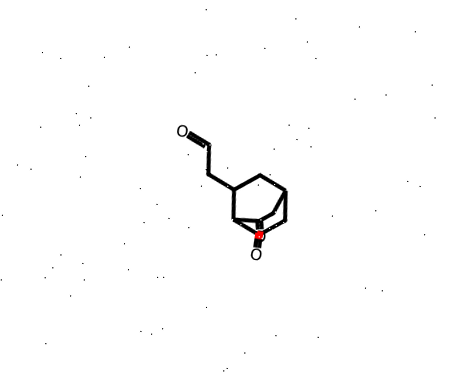 O=CCC1CC2CC(=O)C1C(=O)C2